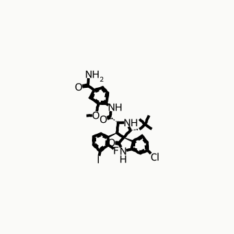 COc1cc(C(N)=O)ccc1NC(=O)[C@@H]1N[C@H](CC(C)(C)C)[C@]2(C(=O)Nc3cc(Cl)ccc32)[C@H]1c1cccc(I)c1F